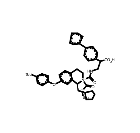 CC(C)(C)OC(=O)[N+]1(C(=O)NCC(C(=O)O)c2ccc(-c3ccccc3)cc2)CCc2ccc(Oc3ccc(C(C)(C)C)cc3)cc2[C@@H]1CC1CCCC1